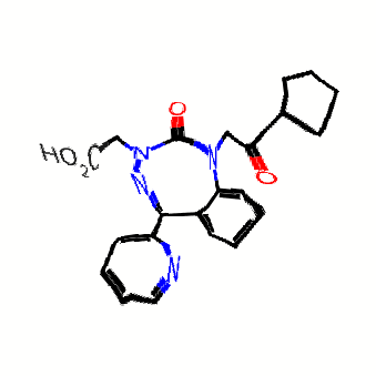 O=C(O)CN1N=C(c2ccccn2)c2ccccc2N(CC(=O)C2CCCC2)C1=O